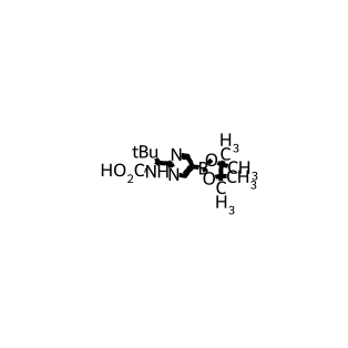 CC(C)(C)C(NC(=O)O)c1ncc(B2OC(C)(C)C(C)(C)O2)cn1